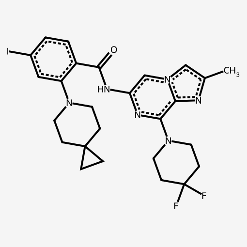 Cc1cn2cc(NC(=O)c3ccc(I)cc3N3CCC4(CC3)CC4)nc(N3CCC(F)(F)CC3)c2n1